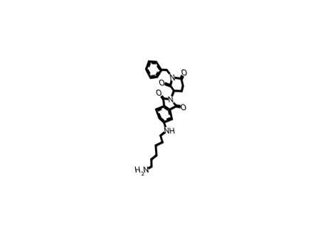 NCCCCCCNc1ccc2c(c1)C(=O)N(C1CCC(=O)N(Cc3ccccc3)C1=O)C2=O